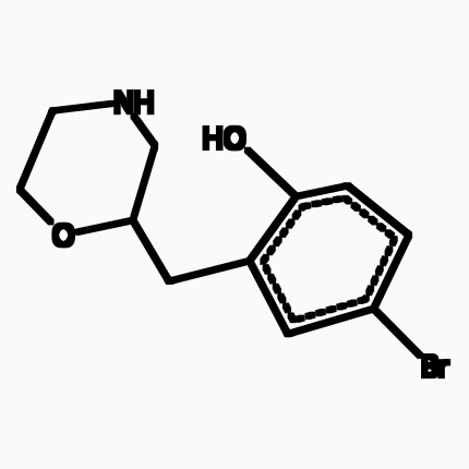 Oc1ccc(Br)cc1CC1CNCCO1